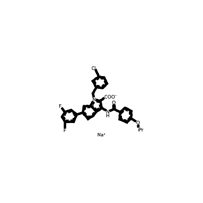 CC(C)Oc1ccc(C(=O)Nc2c(C(=O)[O-])n(Cc3cccc(Cl)c3)c3cc(-c4cc(F)cc(F)c4)ccc23)cc1.[Na+]